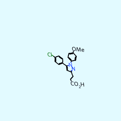 COc1ccc(-n2nc(CCC(=O)O)cc2-c2ccc(Cl)cc2)cc1